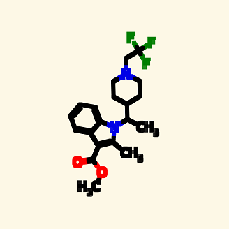 COC(=O)c1c(C)n(C(C)C2CCN(CC(F)(F)F)CC2)c2ccccc12